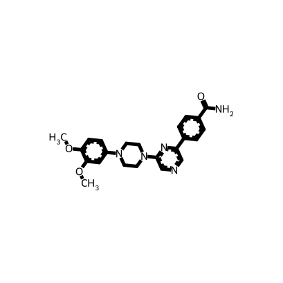 COc1ccc(N2CCN(c3cncc(-c4ccc(C(N)=O)cc4)n3)CC2)cc1OC